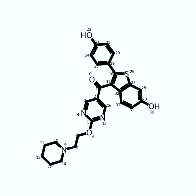 O=C(c1cnc(OCCN2CCCCC2)nc1)c1c(-c2ccc(O)cc2)sc2cc(O)ccc12